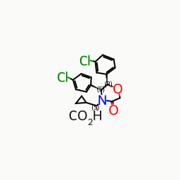 O=C(O)[C@H](C1CC1)N1C(=O)CO[C@H](c2cccc(Cl)c2)[C@@H]1c1ccc(Cl)cc1